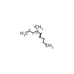 CCCC=C[C@@H](C)CCC